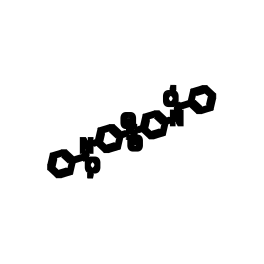 CO/C(=N\c1ccc(S(=O)(=O)c2ccc(/N=C(\OC)c3ccccc3)cc2)cc1)c1ccccc1